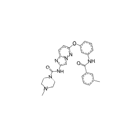 Cc1cccc(C(=O)Nc2cccc(Oc3ccc4nc(NC(=O)N5CCN(C)CC5)cn4n3)c2)c1